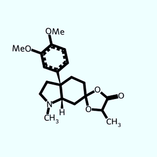 COc1ccc([C@]23CCN(C)[C@H]2CC2(CC3)OC(=O)C(C)O2)cc1OC